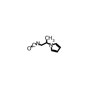 CC(CN=C=O)n1cccc1